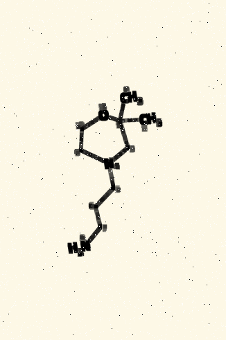 CC1(C)CN(CCCN)CCO1